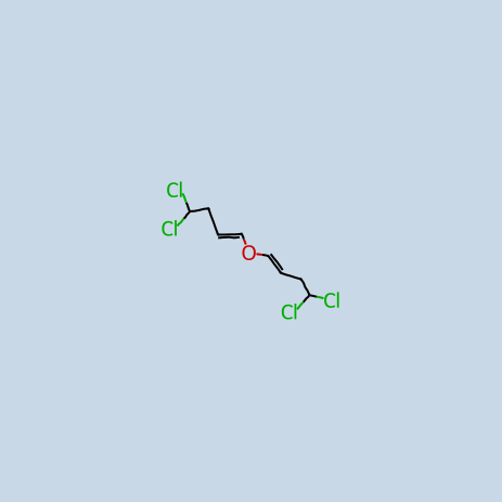 ClC(Cl)CC=COC=CCC(Cl)Cl